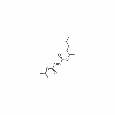 CC(C)CCC(C)OC(=O)/N=N/C(=O)OC(C)C